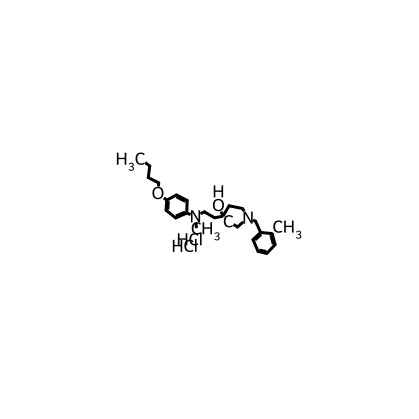 CCCCOc1ccc(N(C)CCC2(O)CCN(Cc3ccccc3C)CC2)cc1.Cl.Cl